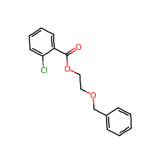 O=C(OCCOCc1ccccc1)c1ccccc1Cl